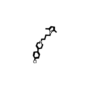 Cc1ccc(C)n1CCCCN1CC=C(c2ccc(Cl)cc2)CC1